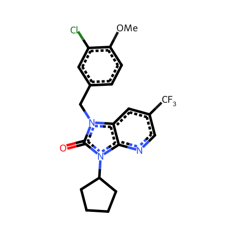 COc1ccc(Cn2c(=O)n(C3CCCC3)c3ncc(C(F)(F)F)cc32)cc1Cl